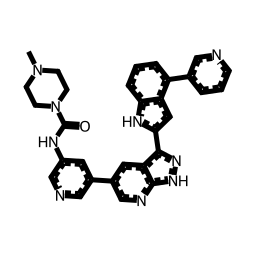 CN1CCN(C(=O)Nc2cncc(-c3cnc4[nH]nc(-c5cc6c(-c7cccnc7)cccc6[nH]5)c4c3)c2)CC1